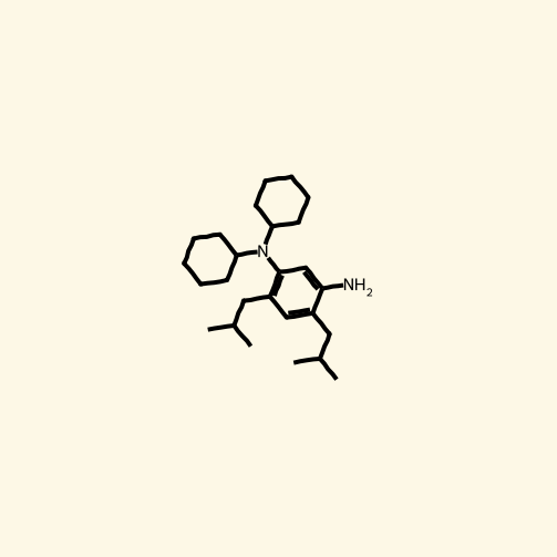 CC(C)Cc1cc(CC(C)C)c(N(C2CCCCC2)C2CCCCC2)cc1N